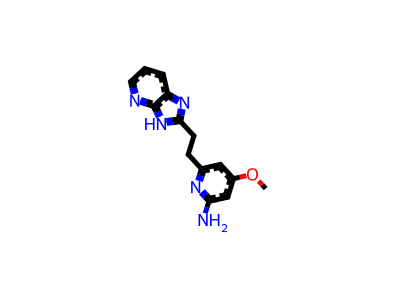 COc1cc(N)nc(CCc2nc3cccnc3[nH]2)c1